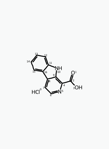 Cl.O=C(O)c1nccc2c1[nH]c1ccccc12